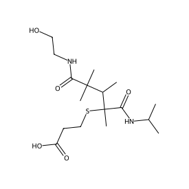 CC(C)NC(=O)C(C)(SCCC(=O)O)C(C)C(C)(C)C(=O)NCCO